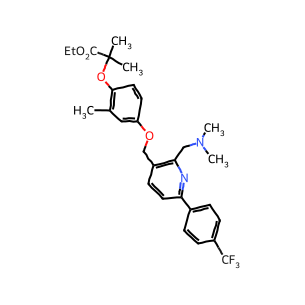 CCOC(=O)C(C)(C)Oc1ccc(OCc2ccc(-c3ccc(C(F)(F)F)cc3)nc2CN(C)C)cc1C